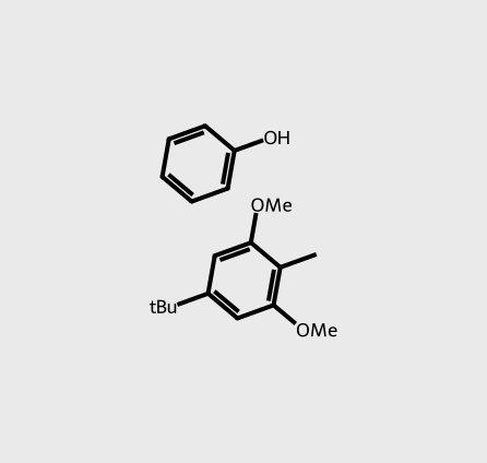 COc1cc(C(C)(C)C)cc(OC)c1C.Oc1ccccc1